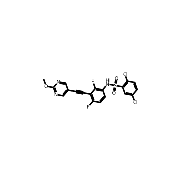 COc1ncc(C#Cc2c(F)ccc(NS(=O)(=O)c3cc(Cl)ccc3Cl)c2F)cn1